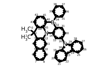 CC1(C)c2cc3ccccc3cc2N2c3cc(-n4c5ccccc5c5ccccc54)ccc3B(c3ccccc3)c3cccc1c32